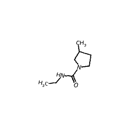 CCNC(=O)N1CCC(C)C1